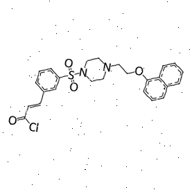 O=C(Cl)C=Cc1cccc(S(=O)(=O)N2CCN(CCOc3cccc4ccccc34)CC2)c1